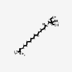 CC(C)CCCCCCCCCCCCCCC(=O)OCC(N)(CO)CO